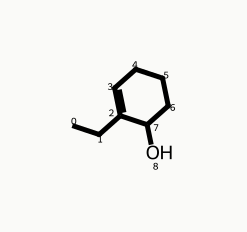 CCC1=CCCCC1O